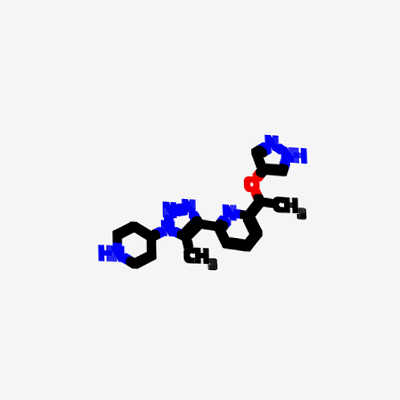 Cc1c(-c2cccc(C(C)Oc3cn[nH]c3)n2)nnn1C1CCNCC1